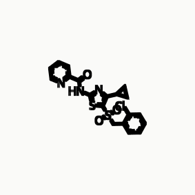 O=C(Nc1nc(C2CC2)c(S(=O)(=O)Cc2ccccc2Cl)s1)c1ccccn1